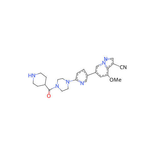 COc1cc(-c2ccc(N3CCN(C(=O)C4CCNCC4)CC3)nc2)cn2ncc(C#N)c12